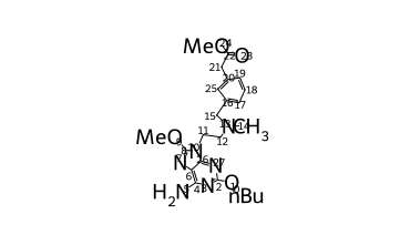 CCCCOc1nc(N)c2nc(OC)n(CCN(C)Cc3cccc(CC(=O)OC)c3)c2n1